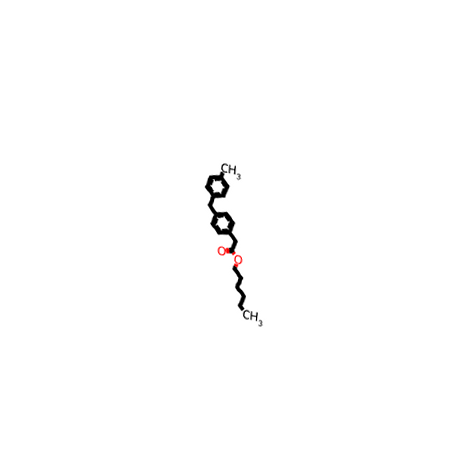 CCCCCCOC(=O)Cc1ccc(Cc2ccc(C)cc2)cc1